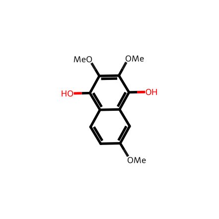 COc1ccc2c(O)c(OC)c(OC)c(O)c2c1